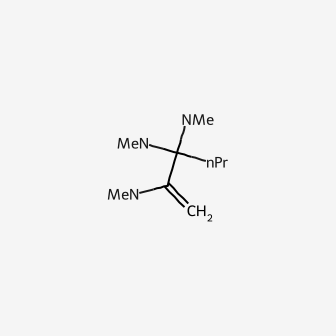 C=C(NC)C(CCC)(NC)NC